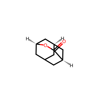 O=C1O[C@H]2CC3C[C@@H](C2)C[C@H]1C3